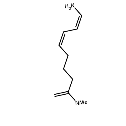 C=C(CCC/C=C\C=C/N)NC